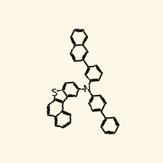 c1ccc(-c2ccc(N(c3cccc(-c4ccc5ccccc5c4)c3)c3ccc4sc5ccc6ccccc6c5c4c3)cc2)cc1